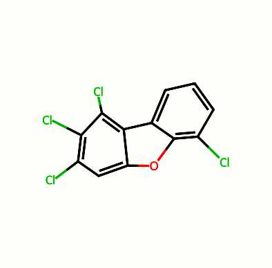 Clc1cc2oc3c(Cl)cccc3c2c(Cl)c1Cl